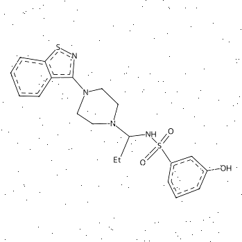 CCC(NS(=O)(=O)c1cccc(O)c1)N1CCN(c2nsc3ccccc23)CC1